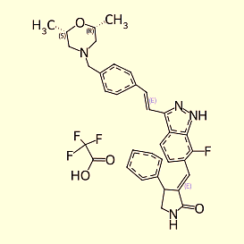 C[C@@H]1CN(Cc2ccc(/C=C/c3n[nH]c4c(F)c(/C=C5/C(=O)NCC5c5ccccc5)ccc34)cc2)C[C@H](C)O1.O=C(O)C(F)(F)F